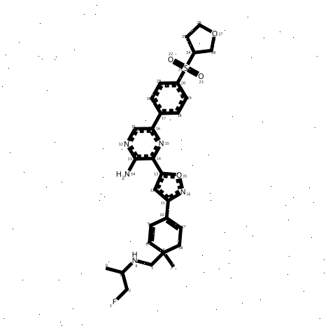 CC(CF)NCC1(C)C=CC(c2cc(-c3nc(-c4ccc(S(=O)(=O)C5CCOC5)cc4)cnc3N)on2)=CC1